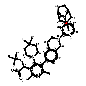 Cc1nc(C)c(C(OC(C)(C)C)C(=O)O)c(N2CCC(C)(C)CC2)c1-c1ccc2c(c1)CCN(c1nccc(N3C4CCC3CN(C)C4)n1)C2